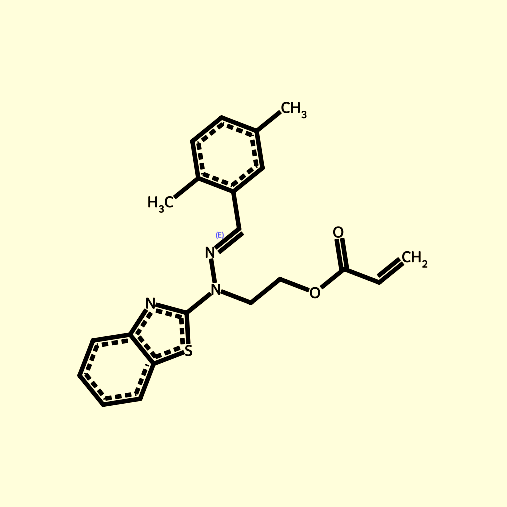 C=CC(=O)OCCN(/N=C/c1cc(C)ccc1C)c1nc2ccccc2s1